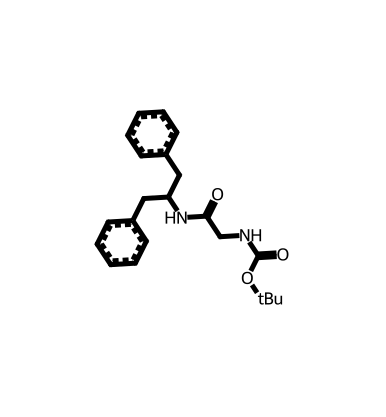 CC(C)(C)OC(=O)NCC(=O)NC(Cc1ccccc1)Cc1ccccc1